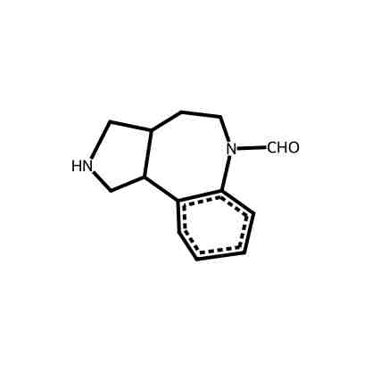 O=CN1CCC2CNCC2c2ccccc21